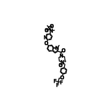 CN(c1ccc(Oc2ccc3cc(C(=O)N4CC[N+]([O-])(Cc5ccc(OCC(F)(F)F)cc5)CC4)n(C)c3c2)nc1)S(C)(=O)=O